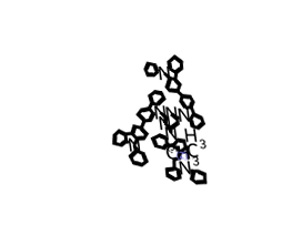 CC1C=C2N(c3cc(-n4c5ccccc5c5ccc(-c6ccc7c(c6)c6ccccc6n7-c6ccccc6)cc54)nc(-n4c5ccccc5c5ccc(-c6ccc7c(c6)c6ccccc6n7-c6ccccc6)cc54)n3)c3ccccc3[C@]2(C)/C1=C\Cc1ccccc1Nc1ccccc1